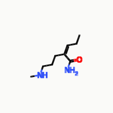 CCC=C(CCCNC)C(N)=O